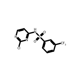 O=S(=O)(Nc1ccnc(Cl)n1)c1cccc(C(F)(F)F)c1